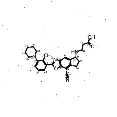 Cc1c(-c2nc3cc4c(c(C#N)c3o2)CC[C@H]4NCCC(=O)O)cccc1N1CCCCC1